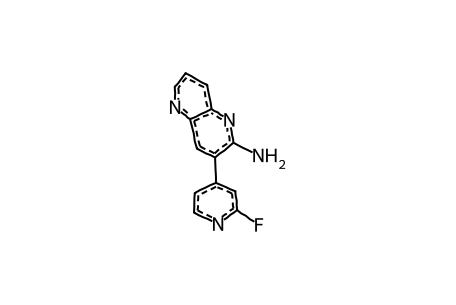 Nc1nc2cccnc2cc1-c1ccnc(F)c1